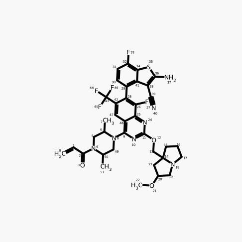 C=CC(=O)N1CC(C)N(c2nc(OCC34CCCN3CC(OC)C4)nc3c(F)c(-c4ccc(F)c5sc(N)c(C#N)c45)c(C(F)(F)F)cc23)CC1C